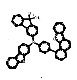 CC1(C)c2ccccc2-c2cc(N(c3ccc(-c4cccc5ccc6c7ccccc7oc6c45)cc3)c3ccc4c(c3)sc3ccccc34)ccc21